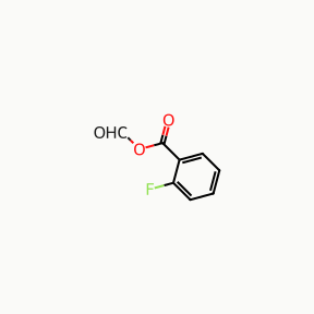 O=COC(=O)c1ccccc1F